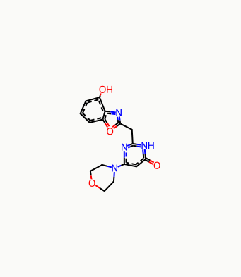 O=c1cc(N2CCOCC2)nc(Cc2nc3c(O)cccc3o2)[nH]1